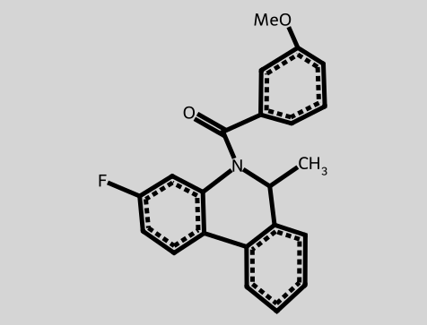 COc1cccc(C(=O)N2c3cc(F)ccc3-c3ccccc3C2C)c1